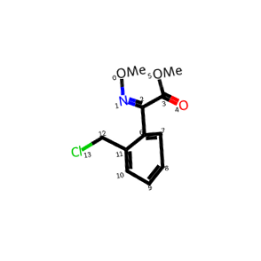 CON=C(C(=O)OC)c1ccccc1CCl